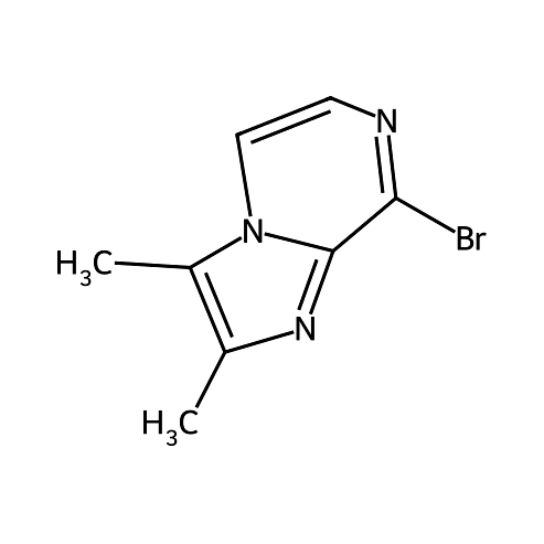 Cc1nc2c(Br)nccn2c1C